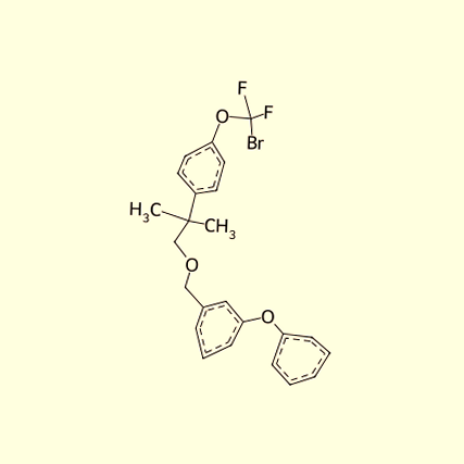 CC(C)(COCc1cccc(Oc2ccccc2)c1)c1ccc(OC(F)(F)Br)cc1